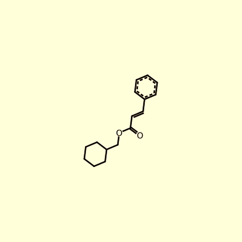 O=C(C=Cc1ccccc1)OCC1CCCCC1